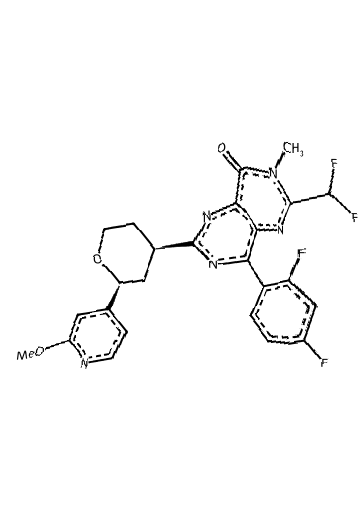 COc1cc([C@@H]2C[C@H](c3nc(-c4ccc(F)cc4F)c4nc(C(F)F)n(C)c(=O)c4n3)CCO2)ccn1